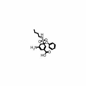 CCCCNS(=O)(=O)C1(Oc2ccccc2)C=C(C(=O)O)C=C(N)C1